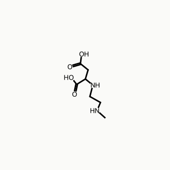 CNCCNC(CC(=O)O)C(=O)O